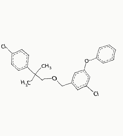 CC(C)(COCc1cc(Cl)cc(Oc2ccccc2)c1)c1ccc(Cl)cc1